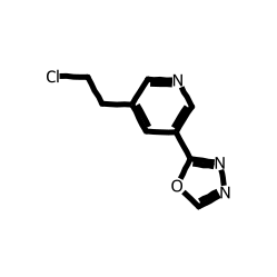 ClCCc1cncc(-c2nnco2)c1